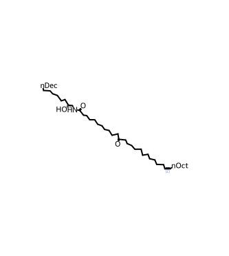 CCCCCCCC/C=C\CCCCCCCCCCCC(=O)CCCCCCCCCCC(=O)NC[C@H](O)CCCCCCCCCCCCCCCC